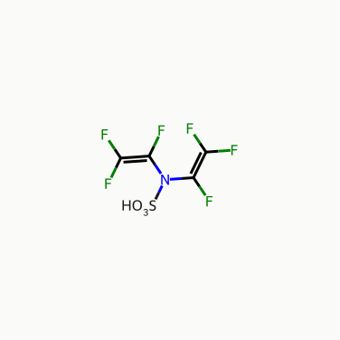 O=S(=O)(O)N(C(F)=C(F)F)C(F)=C(F)F